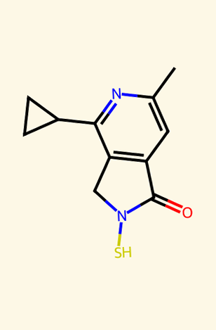 Cc1cc2c(c(C3CC3)n1)CN(S)C2=O